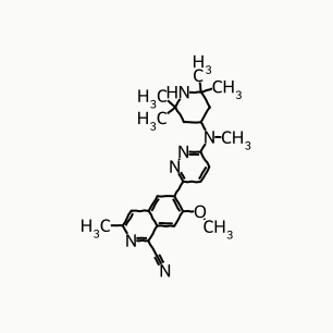 COc1cc2c(C#N)nc(C)cc2cc1-c1ccc(N(C)C2CC(C)(C)NC(C)(C)C2)nn1